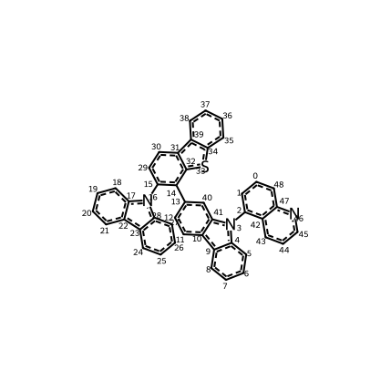 c1cc(-n2c3ccccc3c3ccc(-c4c(-n5c6ccccc6c6ccccc65)ccc5c4sc4ccccc45)cc32)c2cccnc2c1